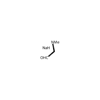 CNCC=O.[NaH]